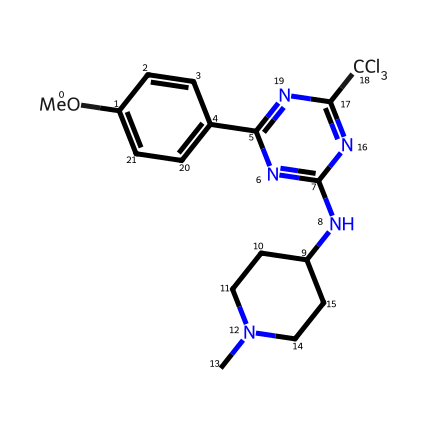 COc1ccc(-c2nc(NC3CCN(C)CC3)nc(C(Cl)(Cl)Cl)n2)cc1